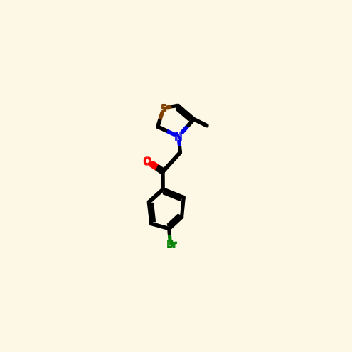 CC1=CSCN1CC(=O)c1ccc(Br)cc1